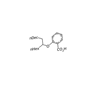 CCCCCCCCCCCC(CCCCCC)Oc1ccccc1C(=O)O